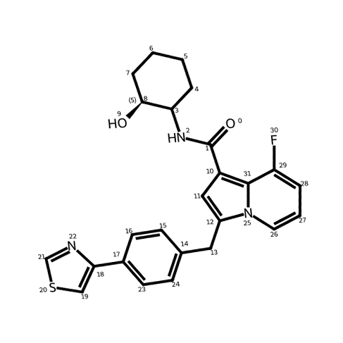 O=C(NC1CCCC[C@@H]1O)c1cc(Cc2ccc(-c3cscn3)cc2)n2cccc(F)c12